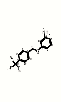 Nc1c[c]cc(OCc2ccc(C(F)(F)F)cc2)c1